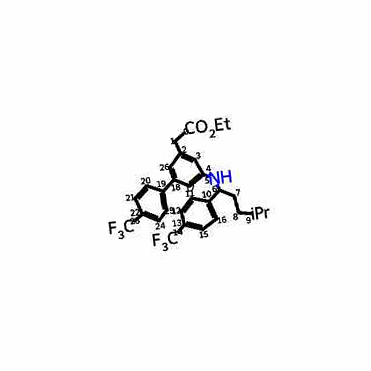 CCOC(=O)Cc1cc(NC(CCC(C)C)c2ccc(C(F)(F)F)cc2)cc(-c2ccc(C(F)(F)F)cc2)c1